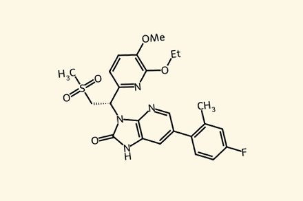 CCOc1nc([C@@H](CS(C)(=O)=O)n2c(=O)[nH]c3cc(-c4ccc(F)cc4C)cnc32)ccc1OC